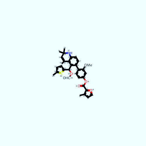 COc1cc(OC(=O)c2occc2C)ccc1-c1ccc2c(c1C(OC=O)c1ccc(C)s1)C(C)=CC(C)(C)N2